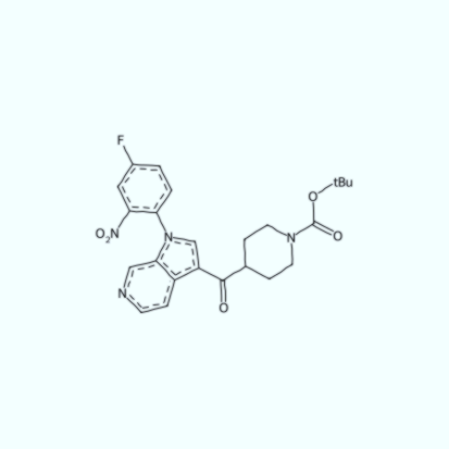 CC(C)(C)OC(=O)N1CCC(C(=O)c2cn(-c3ccc(F)cc3[N+](=O)[O-])c3cnccc23)CC1